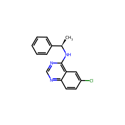 C[C@@H](Nc1ncnc2ccc(Cl)cc12)c1ccccc1